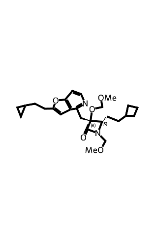 COCO[C@@]1(Cc2nccc3oc(CCC4CC4)cc23)C(=O)N(COC)[C@H]1CCC1CCC1